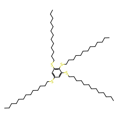 CCCCCCCCCCCCCSc1cc(SCCCCCCCCCCCCC)c(SCCCCCCCCCCCCC)c(SCCCCCCCCCCCCC)c1